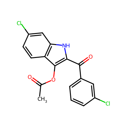 CC(=O)Oc1c(C(=O)c2cccc(Cl)c2)[nH]c2cc(Cl)ccc12